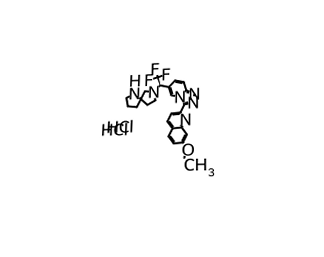 CCOc1ccc2ccc(-c3nnc4ccc([C@@H](N5CCC6(CCCN6)C5)C(F)(F)F)cn34)nc2c1.Cl.Cl